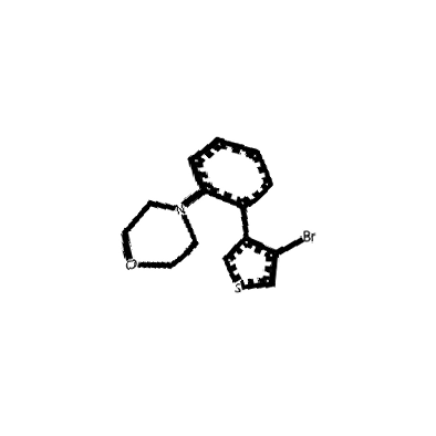 Brc1cs[c]c1-c1ccccc1N1CCOCC1